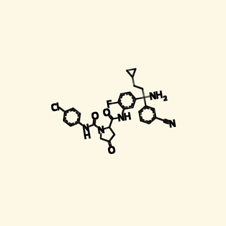 N#Cc1cccc(C(N)(CCC2CC2)c2ccc(F)c(NC(=O)C3CC(=O)CN3C(=O)Nc3ccc(Cl)cc3)c2)c1